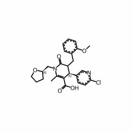 COc1ccccc1CC1C(=O)N(C[C@H]2CCCO2)C(C)=C(C(=O)O)[C@@H]1c1ccc(Cl)nc1